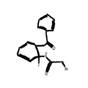 O=C(CBr)NC1(F)C=CC=CC1C(=O)c1ccccc1